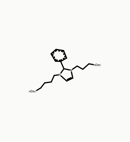 CCCCCCCCCCCCCCN1C=CN(CCCCCCCCCCCCC)C1c1ccccc1